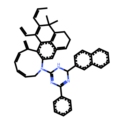 C=CC1=C(/C=C\C)C(C)(C)C2=c3c1c1c(cc3=CCC2)N(C2=NC(c3ccccc3)=NC(c3ccc4ccccc4c3)N2)C/C=C\C=C/C1=C